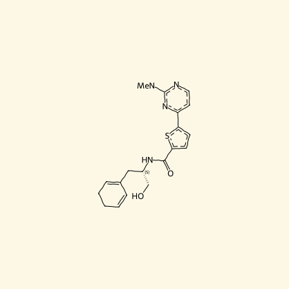 CNc1nccc(-c2ccc(C(=O)N[C@H](CO)CC3=CCCC=C3)s2)n1